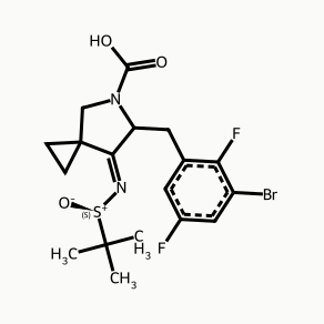 CC(C)(C)[S@@+]([O-])N=C1C(Cc2cc(F)cc(Br)c2F)N(C(=O)O)CC12CC2